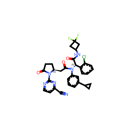 N#Cc1ccnc(N2C(=O)CC[C@H]2CC(=O)N(c2cccc(C3CC3)c2)[C@H](C(=O)NC2CC(F)(F)C2)c2ccccc2Cl)n1